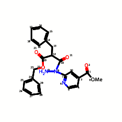 COC(=O)c1ccnc(N(N)C(=O)C(Cc2ccccc2)C(=O)OCc2ccccc2)c1